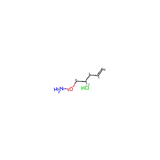 C=CCCCON.Cl